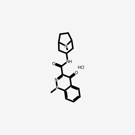 CN1C2CCC1CC(NC(=O)c1nn(C)c3ccccc3c1=O)C2.Cl